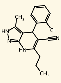 CCCC1=C(C#N)C(c2ccccc2Cl)c2c(n[nH]c2C)N1